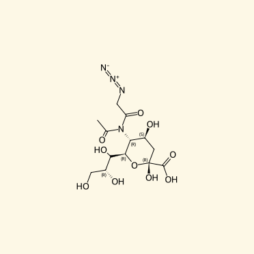 CC(=O)N(C(=O)CN=[N+]=[N-])[C@@H]1[C@@H](O)C[C@](O)(C(=O)O)O[C@H]1C(O)[C@H](O)CO